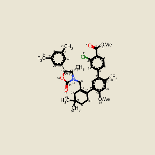 COC(=O)c1ccc(-c2cc(C3=C(CN4C(=O)O[C@H](c5cc(C)cc(C(F)(F)F)c5)[C@@H]4C)CC(C)(C)CC3)c(OC)cc2C(F)(F)F)cc1Cl